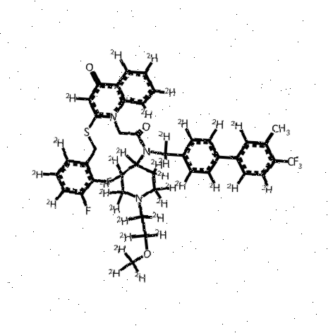 [2H]c1c([2H])c(F)c(F)c(CSc2c([2H])c(=O)c3c([2H])c([2H])c([2H])c([2H])c3n2CC(=O)N(C([2H])([2H])c2c([2H])c([2H])c(-c3c([2H])c([2H])c(C(F)(F)F)c(C)c3[2H])c([2H])c2[2H])C2([2H])C([2H])([2H])C([2H])([2H])N(C([2H])([2H])C([2H])([2H])OC([2H])([2H])[2H])C([2H])([2H])C2([2H])[2H])c1[2H]